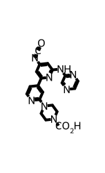 O=C=Nc1cc(Nc2cnccn2)nc(-c2ccnc(N3CCN(C(=O)O)CC3)c2)c1